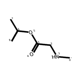 [CH2]NCC(=O)OC(C)C